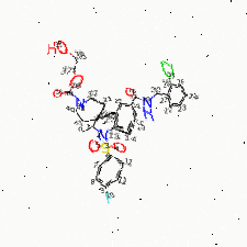 CC1N(S(=O)(=O)c2ccc(F)cc2)c2ccc(C(=O)NCc3ccccc3Cl)cc2C12CCN(C(=O)OCCO)CC2